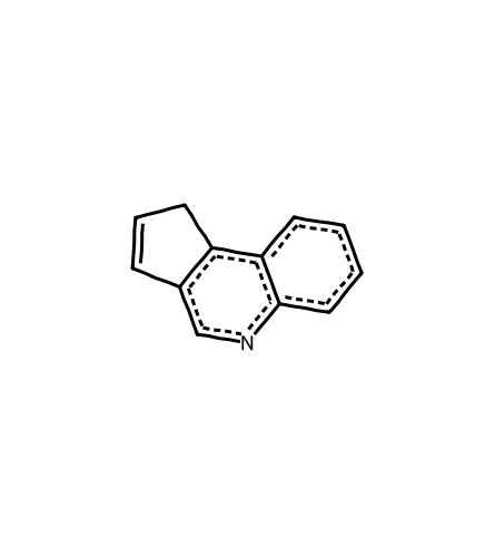 C1=Cc2cnc3ccccc3c2C1